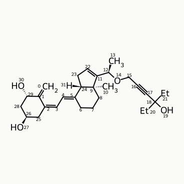 C=C1C(=CC=C2CCC[C@]3(C)C([C@@H](C)OCC#CC(O)(CC)CC)=CC[C@@H]23)C[C@@H](O)C[C@@H]1O